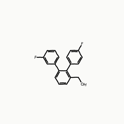 OCc1cccc(-c2cccc(F)c2)c1-c1ccc(F)cc1